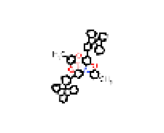 Cc1ccc2c(c1)Oc1cc(-c3ccc4c(c3)C3(c5ccccc5-c5ccccc53)c3ccccc3-4)c3c4c1N2c1ccc(-c2ccc5c(c2)C2(c6ccccc6-c6ccccc62)c2ccccc2-5)c2c1B4c1c(cc(C)cc1O3)O2